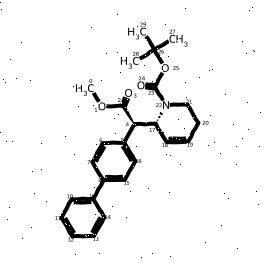 COC(=O)[C@H](c1ccc(-c2ccccc2)cc1)[C@H]1C=CCCN1C(=O)OC(C)(C)C